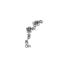 O=C(Nc1ccccc1)Nc1ccc(CCNc2ncnc3sc(-c4ccc(OCCCN5CCC(O)CC5)cc4)nc23)cc1